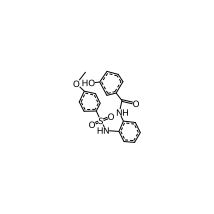 COc1ccc(S(=O)(=O)Nc2ccccc2NC(=O)c2cccc(O)c2)cc1